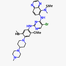 CBc1cc(Nc2ncc(Br)c(Nc3ccc4nccnc4c3N(C)SC)n2)c(OC)cc1N1CCC(N2CCN(C)CC2)CC1